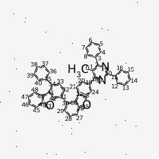 Cc1c(-c2ccccc2)nc(-c2ccccc2)nc1-c1ccc2c(c1)oc1cccc(-c3ccc(-c4ccccc4)c4c3oc3ccccc34)c12